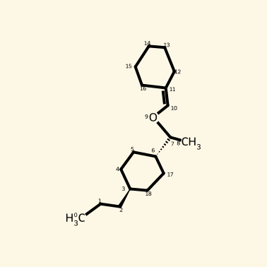 CCC[C@H]1CC[C@H](C(C)OC=C2CCCCC2)CC1